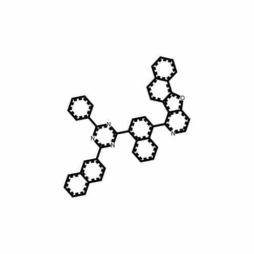 c1ccc(-c2nc(-c3ccc4ccccc4c3)nc(-c3ccc(-c4nccc5oc6c7ccccc7ccc6c45)c4ccccc34)n2)cc1